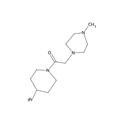 CC(C)C1CCN(C(=O)CN2CCN(C)CC2)CC1